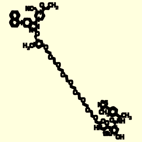 C=CC(=O)N1CCN(c2nc(OC[C@@H]3C[C@@H](OCCOCCOCCOCCOCCOCCOCCOCCOCC(=O)N[C@H](C(=O)N4C[C@H](O)C[C@H]4C(=O)N[C@@H](C)c4ccc(-c5scnc5C)cc4)C(C)(C)C)CN3C)nc3c2CCN(c2cccc4ccccc24)C3)C[C@@H]1CC#N